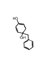 OC1=CCC(O)(Cc2ccccc2)C=C1